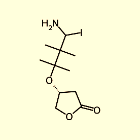 CC(C)(O[C@H]1COC(=O)C1)C(C)(C)C(N)I